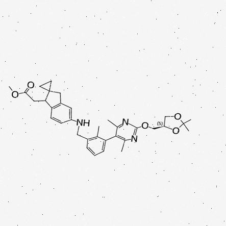 COC(=O)CC1c2ccc(NCc3cccc(-c4c(C)nc(OC[C@H]5COC(C)(C)O5)nc4C)c3C)cc2CC12CC2